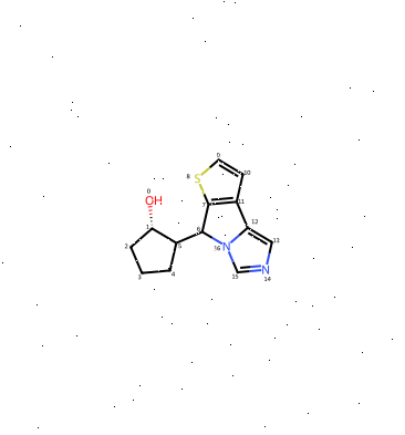 O[C@H]1CCCC1C1c2sccc2-c2cncn21